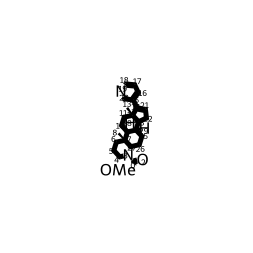 COC(=O)N1CCC[C@]2(C)C3CC[C@]4(C)C(c5cccnc5)=CC[C@H]4[C@@H]3CCC12